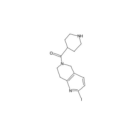 O=C(C1CCNCC1)N1CCc2nc(I)ccc2C1